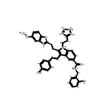 COc1ccc2sc(CCc3c(CCc4ccc(Cl)cc4)c4cc(C(=O)NCc5ccccc5Br)ccc4n3CCc3nn[nH]n3)nc2c1